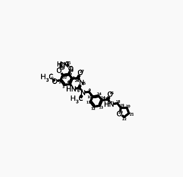 COc1cc2[nH]c(N(C)Cc3cccc(C(=O)NCC4CCCO4)c3)nc(=O)c2c(OC)c1OC